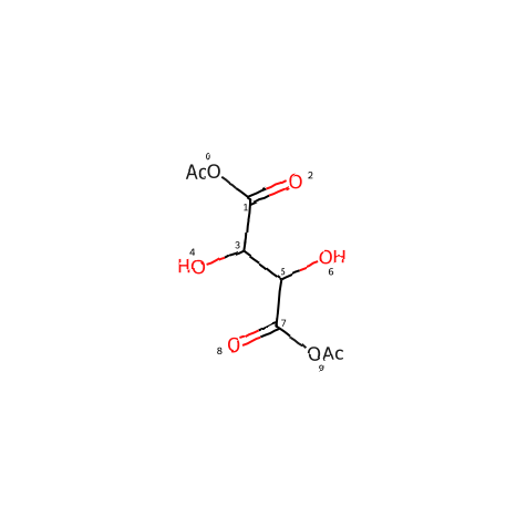 CC(=O)OC(=O)C(O)C(O)C(=O)OC(C)=O